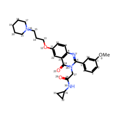 COc1cccc(-c2nc3ccc(OCCCN4CCCCC4)cc3c(=O)n2CC(=O)NC2CC2)c1